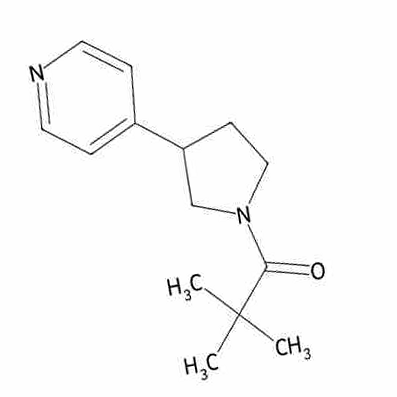 CC(C)(C)C(=O)N1CCC(c2ccncc2)C1